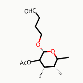 CC(=O)OC1[C@H](OCCCC=O)OC(C)[C@H](C)[C@@H]1C